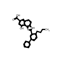 CCCCc1ccc(-c2ccccc2)cc1-c1nc2c(ccc3cc(C(=O)O)cc(O)c32)[nH]1